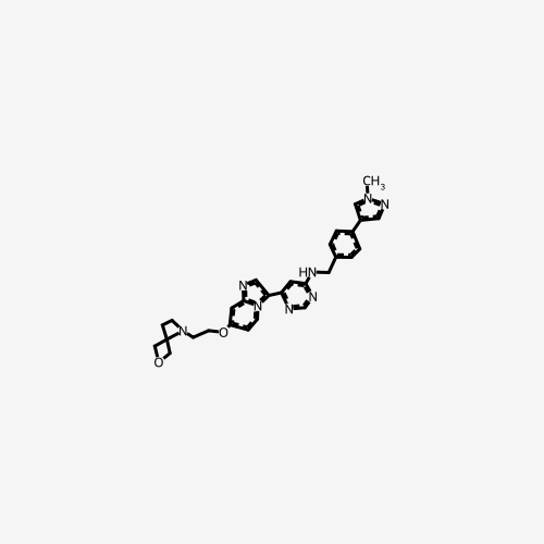 Cn1cc(-c2ccc(CNc3cc(-c4cnc5cc(OCCN6CCC67COC7)ccn45)ncn3)cc2)cn1